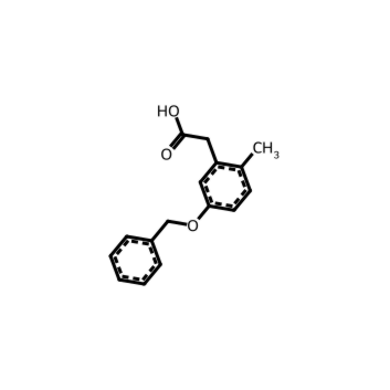 Cc1ccc(OCc2ccccc2)cc1CC(=O)O